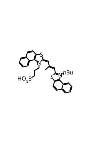 CCCC[n+]1c(/C=C(C)/C=C2/Sc3ccc4ccccc4c3N2CCCS(=O)(=O)O)sc2ccc3ccccc3c21